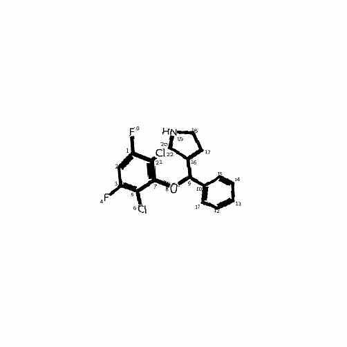 Fc1cc(F)c(Cl)c(OC(c2ccccc2)C2CCNC2)c1Cl